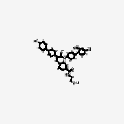 CC(C)(C)c1ccc(-c2ccc(C(Cc3ccc(C(=O)NCCC=O)cc3)C(=O)Nc3ccc(-c4ccc(Cl)cc4Cl)cc3)cc2)cc1